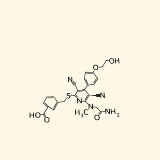 CN(CC(N)=O)c1nc(SCc2cccc(C(=O)O)c2)c(C#N)c(-c2ccc(OCCO)cc2)c1C#N